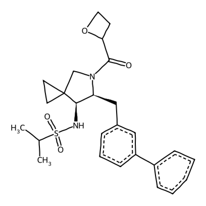 CC(C)S(=O)(=O)N[C@@H]1[C@H](Cc2cccc(-c3ccccc3)c2)N(C(=O)C2CCO2)CC12CC2